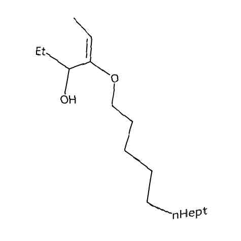 CC=C(OCCCCCCCCCCCC)C(O)CC